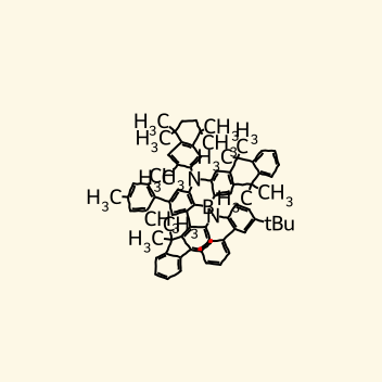 Cc1cc(C)c(-c2cc3c4c(c2)N(c2cc5c(cc2C)C(C)(C)CCC5(C)C)c2cc5c(cc2B4N(c2ccc(C(C)(C)C)cc2-c2ccccc2)c2ccc4c(c2-3)C(C)(C)c2ccccc2-4)C(C)(C)c2ccccc2C5(C)C)c(C)c1